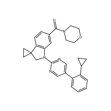 O=C(c1ccc2c(c1)N(c1ncc(-c3ccccc3C3CC3)cn1)CC21CC1)N1CCOCC1